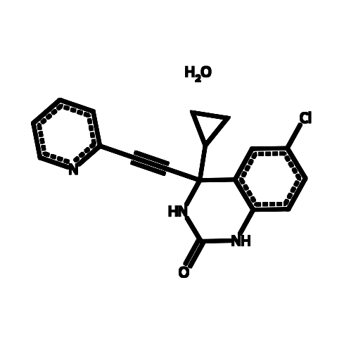 O.O=C1Nc2ccc(Cl)cc2C(C#Cc2ccccn2)(C2CC2)N1